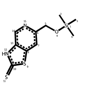 C[Si](C)(C)OCc1cc2sc(=S)[nH]c2cn1